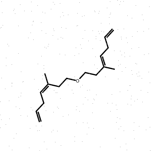 C=CCC=C(C)CCOCCC(C)=CCC=C